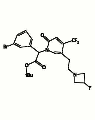 CC(C)(C)OC(=O)C(c1cccc(Br)c1)n1cc(CCN2CC(F)C2)c(C(F)(F)F)cc1=O